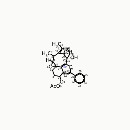 CC(=O)OOC1CC[C@@]23O[C@@H]2C(C)C2=C(C)CC[C@@](O)(/C(OC(=O)c4ccccc4)=C\3C1)C2(C)C